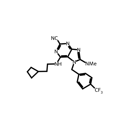 CNc1nc2nc(C#N)nc(NCCC3CCC3)c2n1Cc1ccc(C(F)(F)F)cc1